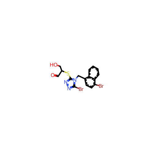 O=CC(CO)Sc1nnc(Br)n1Cc1ccc(Br)c2ccccc12